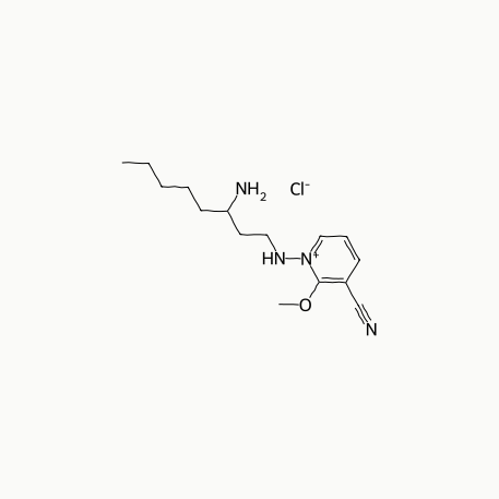 CCCCCC(N)CCN[n+]1cccc(C#N)c1OC.[Cl-]